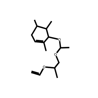 C=COC(C)COC(C)OC1C(C)=CCC(C)C1C